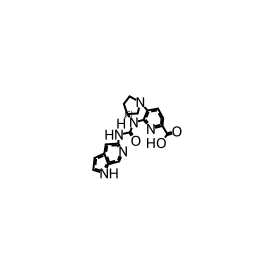 O=C(O)c1ccc2c(n1)N(C(=O)Nc1cc3cc[nH]c3cn1)[C@H]1CCN2C1